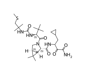 CSCC(C)(C)NC(=O)N[C@H](C(=O)N1C[C@H]2[C@@H]([C@H]1C(=O)NC(CC1CC1)C(=O)C(N)=O)C2(C)C)C(C)(C)C